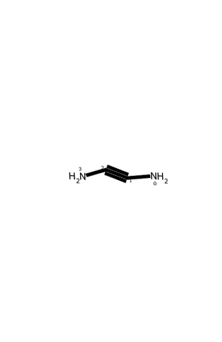 NC#CN